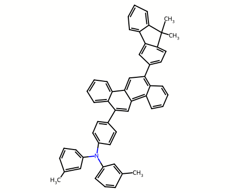 Cc1cccc(N(c2ccc(-c3cc4c5ccccc5c(-c5ccc6c(c5)-c5ccccc5C6(C)C)cc4c4ccccc34)cc2)c2cccc(C)c2)c1